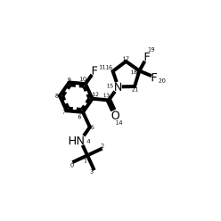 CC(C)(C)NCc1cccc(F)c1C(=O)N1CCC(F)(F)C1